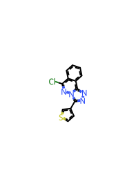 Clc1nn2c(-c3ccsc3)nnc2c2ccccc12